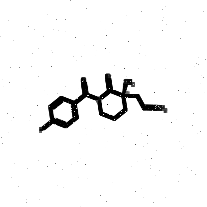 C=CC[C@]1(C)CCCN(C(=O)c2ccc(F)cc2)C1=O